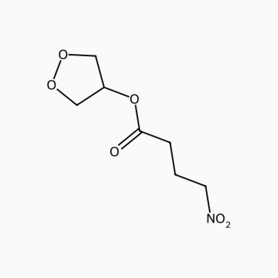 O=C(CCC[N+](=O)[O-])OC1COOC1